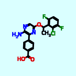 CC(Oc1cnc(N)c(-c2ccc(C(=O)O)cc2)n1)c1c(F)ccc(F)c1Cl